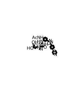 CC(=O)Nc1ccc(-c2nnc(-c3ccc(N4CCN(C)CC4)cc3)o2)cc1Nc1nc2c(ncn2[C@H]2C[C@@H](O)[C@@H](CO)O2)c(=O)[nH]1